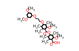 COc1cc(OC)cc(OCCCOc2c(C)c(C)c(C(=O)Oc3c(C)c(C)c(C(=O)O)c(OC)c3C)c(OC)c2C)c1